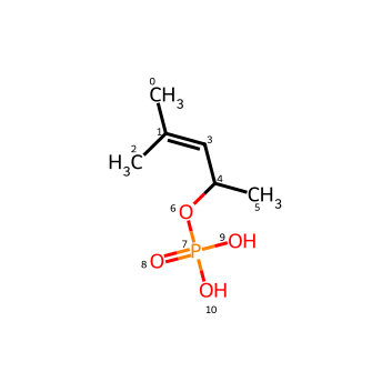 CC(C)=CC(C)OP(=O)(O)O